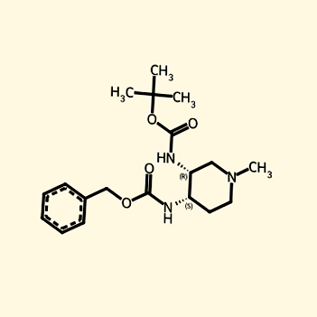 CN1CC[C@H](NC(=O)OCc2ccccc2)[C@H](NC(=O)OC(C)(C)C)C1